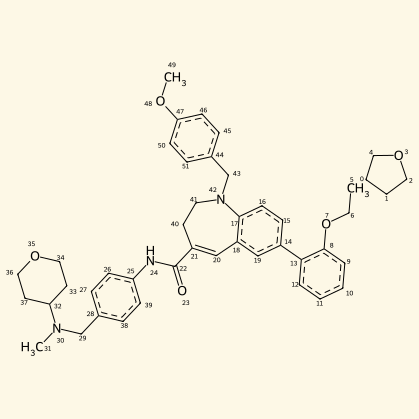 C1CCOC1.CCOc1ccccc1-c1ccc2c(c1)C=C(C(=O)Nc1ccc(CN(C)C3CCOCC3)cc1)CCN2Cc1ccc(OC)cc1